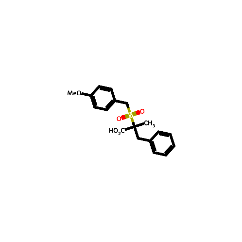 COc1ccc(CS(=O)(=O)C(C)(Cc2ccccc2)C(=O)O)cc1